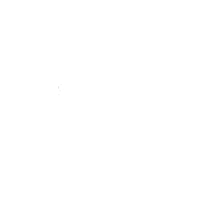 CC[CH]C(=O)CCCCCCCCCCCCCCCCCC